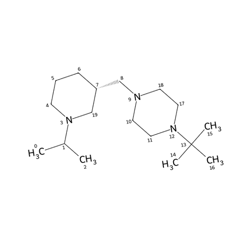 CC(C)N1CCC[C@H](CN2CCN(C(C)(C)C)CC2)C1